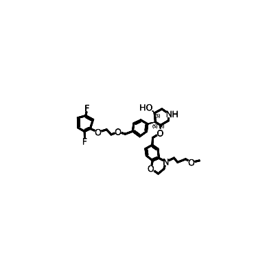 COCCCN1CCOc2ccc(CO[C@H]3CNC[C@@H](O)[C@@H]3c3ccc(COCCOc4cc(F)ccc4F)cc3)cc21